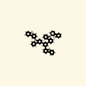 C1=Cc2c(oc3ccccc23)C(n2c3ccccc3c3c(-c4cc(-c5ccc6c(c5)c5ccccc5n6-c5ccc6oc7ccccc7c6c5)cc(-c5cccc6c5sc5ccccc56)c4)cccc32)C1